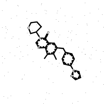 Cc1c(Cc2ccc(-n3cccn3)cc2)cc2c(=O)n(C3CCCOC3)cnc2c1C